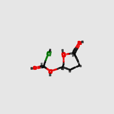 O=C(Cl)OC1CCC(=O)O1